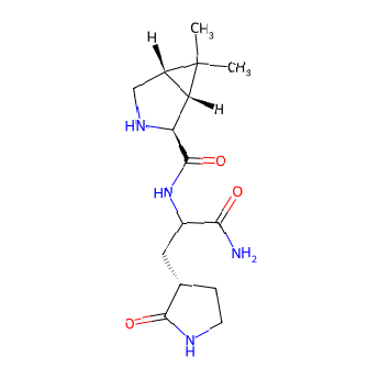 CC1(C)[C@@H]2[C@@H](C(=O)NC(C[C@@H]3CCNC3=O)C(N)=O)NC[C@@H]21